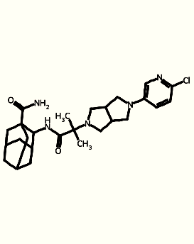 CC(C)(C(=O)NC1C2CC3CC(C2)CC1(C(N)=O)C3)N1CC2CN(c3ccc(Cl)nc3)CC2C1